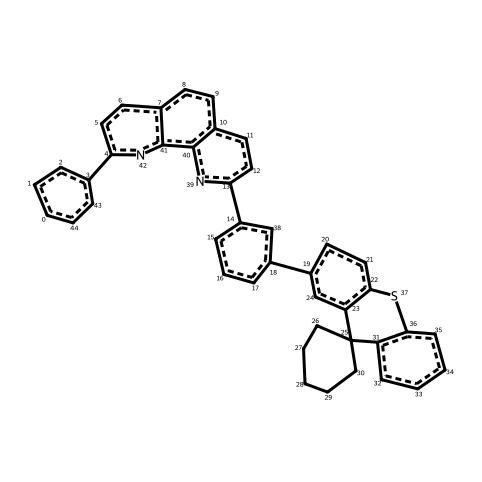 c1ccc(-c2ccc3ccc4ccc(-c5cccc(-c6ccc7c(c6)C6(CCCCC6)c6ccccc6S7)c5)nc4c3n2)cc1